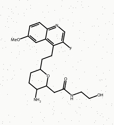 COc1ccc2ncc(F)c(CCC3CCC(N)C(CC(=O)NCCO)O3)c2c1